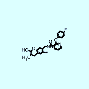 CC(Cc1ccc(CNC(=O)c2cccnc2Oc2ccc(F)cc2)c(F)c1)C(=O)O